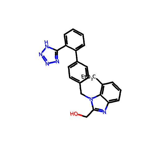 CCOC(=O)c1cccc2nc(CO)n(Cc3ccc(-c4ccccc4-c4nnn[nH]4)cc3)c12